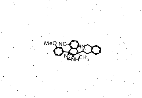 COc1cccc(C(=O)c2c(C#N)cccc2[C@](C)(c2cnc[nH]2)C2Cc3ccccc3CN2)c1